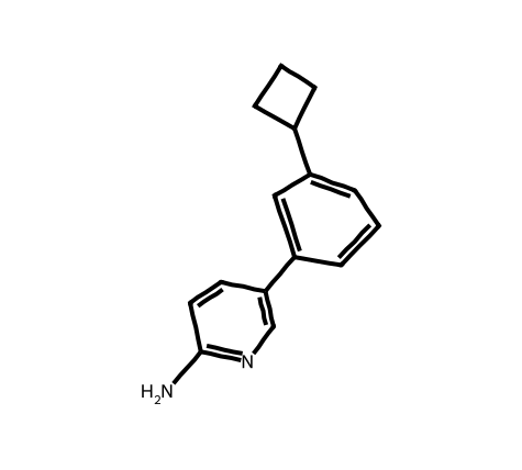 Nc1ccc(-c2cccc(C3CCC3)c2)cn1